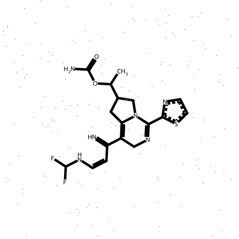 CC(OC(N)=O)C1CC2=C(C(=N)/C=C\NC(F)F)CN=C(c3nccs3)N2C1